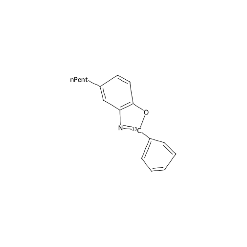 CCCCCc1ccc2o[13c](-c3ccccc3)nc2c1